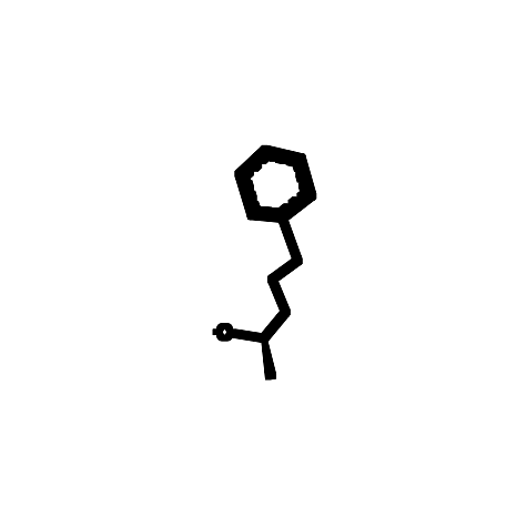 C[C@@H]([O])CCCc1ccccc1